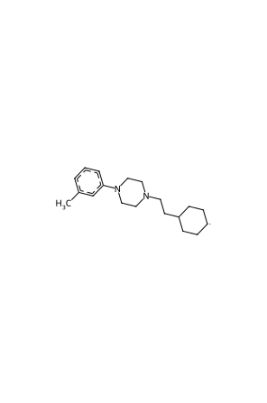 Cc1cccc(N2CCN(CCC3CC[CH]CC3)CC2)c1